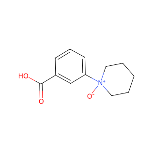 O=C(O)c1cccc([N+]2([O-])CCCCC2)c1